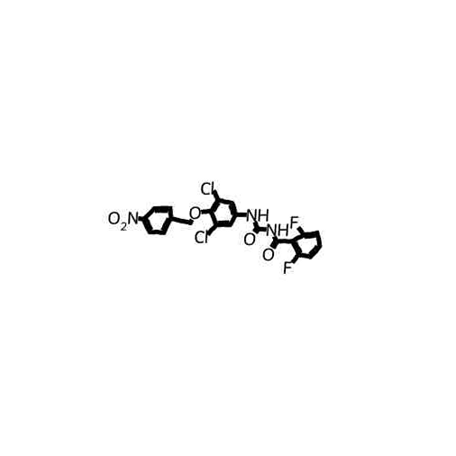 O=C(NC(=O)c1c(F)cccc1F)Nc1cc(Cl)c(OCc2ccc([N+](=O)[O-])cc2)c(Cl)c1